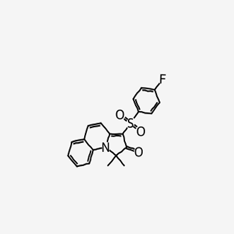 CC1(C)C(=O)C(S(=O)(=O)c2ccc(F)cc2)=C2C=Cc3ccccc3N21